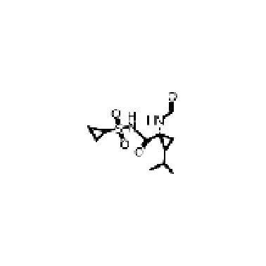 CC(C)[C@@H]1C[C@]1(NC=O)C(=O)NS(=O)(=O)C1CC1